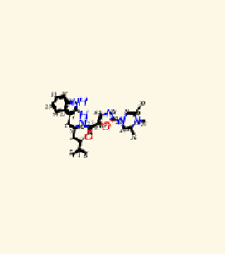 CC(C)CCC(Cc1c[nH]c2ccccc12)NC(=O)C1CN=C(N2CC(C)N(C)[C@H](C)C2)O1